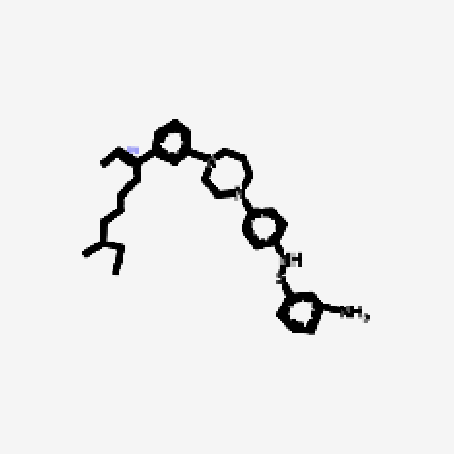 C/C=C(\CCCCC(C)CC)c1cccc(N2CCCN(c3ccc(NSc4cccc(N)c4)cc3)CC2)c1